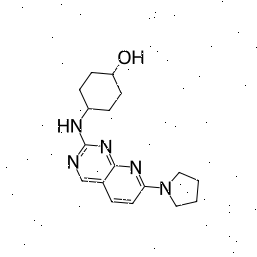 OC1CCC(Nc2ncc3ccc(N4CCCC4)nc3n2)CC1